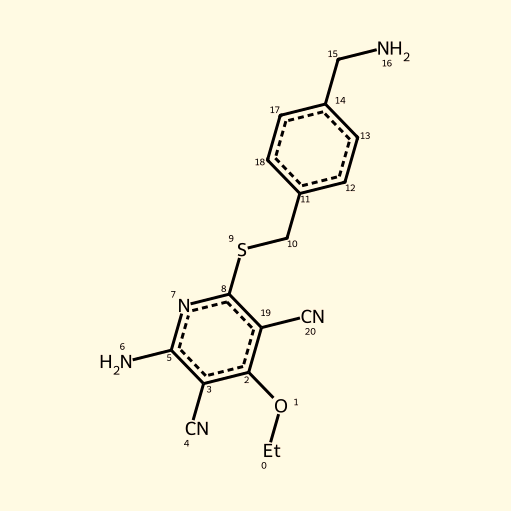 CCOc1c(C#N)c(N)nc(SCc2ccc(CN)cc2)c1C#N